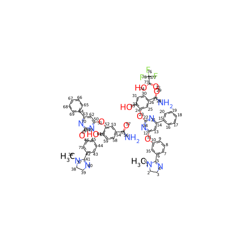 CN1CCN=C1c1cccc(Oc2cc(-c3ccccc3)nc(Oc3cc(C(N)=O)ccc3O)n2)c1.CN1CCN=C1c1cccc(Oc2nc(Oc3cc(C(N)=O)ccc3O)cc(-c3ccccc3)n2)c1.O=C(O)C(F)(F)F